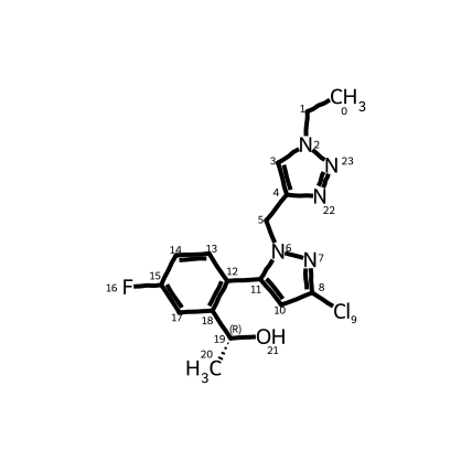 CCn1cc(Cn2nc(Cl)cc2-c2ccc(F)cc2[C@@H](C)O)nn1